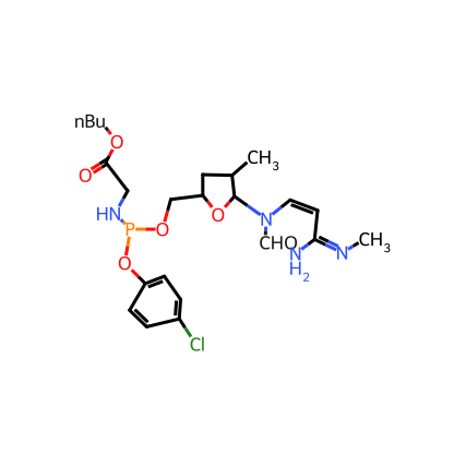 CCCCOC(=O)CNP(OCC1CC(C)C(N(C=O)/C=C\C(N)=N/C)O1)Oc1ccc(Cl)cc1